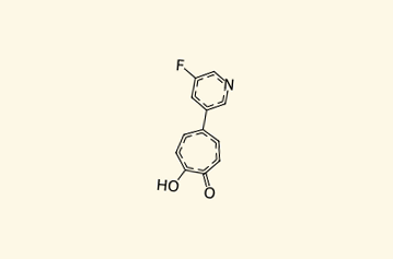 O=c1ccc(-c2cncc(F)c2)ccc1O